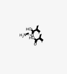 C=C(C)C(=O)O.C=C(C)C(=O)O.CN